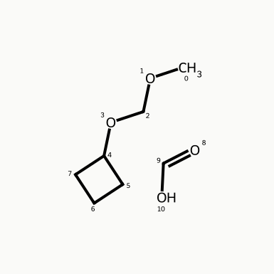 COCOC1CCC1.O=CO